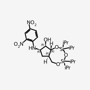 CC(C)[Si]1(C(C)C)OC[C@H]2C[C@@H](Nc3ccc([N+](=O)[O-])cc3[N+](=O)[O-])[C@@H](O)[C@@H]2O[Si](C(C)C)(C(C)C)O1